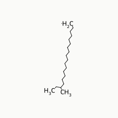 [CH2]CCCCCCCCCCCCCCCC(C)CC